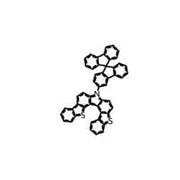 c1ccc2c(c1)-c1ccccc1C21c2ccccc2-c2cc(-n3c4ccc5c6ccccc6sc5c4c4c5c(ccc43)sc3ccccc35)ccc21